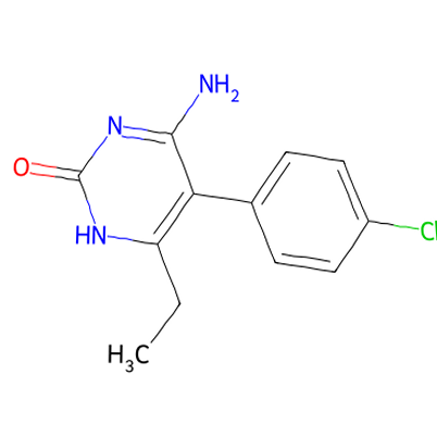 CCc1[nH]c(=O)nc(N)c1-c1ccc(Cl)cc1